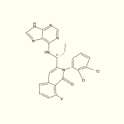 CC[C@@H](Nc1ncnc2[nH]cnc12)c1cc2cccc(F)c2c(=O)n1-c1cccc(Cl)c1Cl